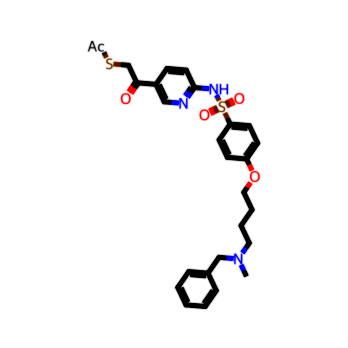 CC(=O)SCC(=O)c1ccc(NS(=O)(=O)c2ccc(OCCCCN(C)Cc3ccccc3)cc2)nc1